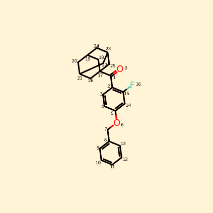 O=C(c1ccc(OCc2ccccc2)cc1F)C12CC3CC(CC(C3)C1)C2